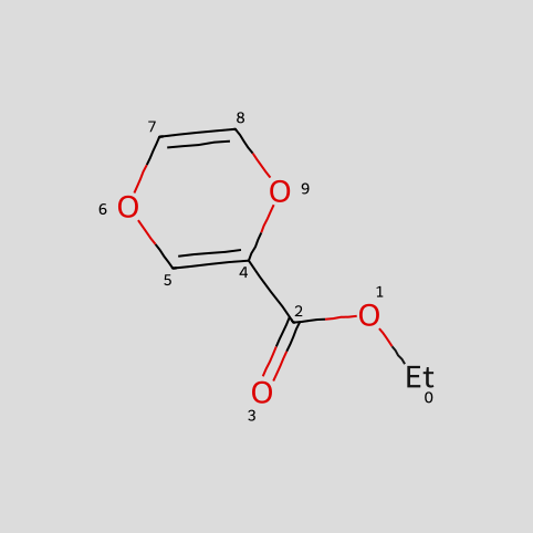 CCOC(=O)C1=COC=CO1